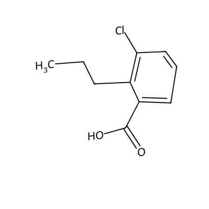 CCCc1c(Cl)cccc1C(=O)O